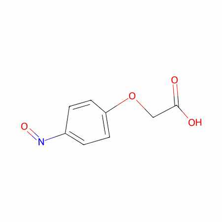 O=Nc1ccc(OCC(=O)O)cc1